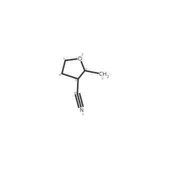 [CH2]C1OCCC1C#N